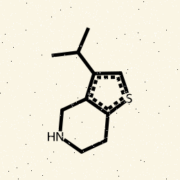 CC(C)c1csc2c1CNCC2